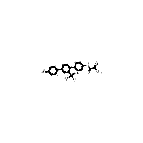 C=C(C)C(=O)Oc1ccc(-c2ccc(-c3ccc(O)cc3)cc2C(C)(C)O)cc1